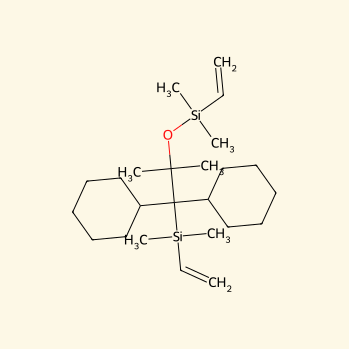 C=C[Si](C)(C)OC(C)(C)C(C1CCCCC1)(C1CCCCC1)[Si](C)(C)C=C